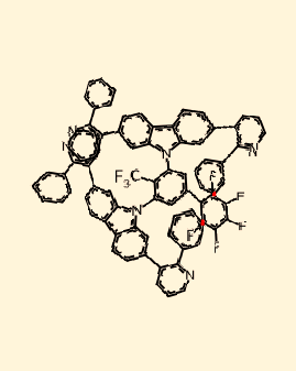 Fc1c(F)c(F)c(-c2cc(-n3c4cc(-c5cccnc5-c5ccccc5)ccc4c4ccc(-c5cccnc5-c5ccccc5)cc43)c(C(F)(F)F)c(-n3c4cc(-c5cccnc5-c5ccccc5)ccc4c4ccc(-c5cccnc5-c5ccccc5)cc43)c2)c(F)c1F